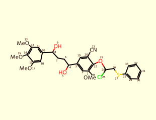 COc1cc(C(O)CCC(O)c2cc(OC)c(OC)c(OC)c2)cc(C#N)c1OC(Cl)CSc1ccccc1